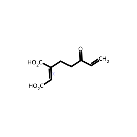 C=CC(=O)CC/C(=C/C(=O)O)C(=O)O